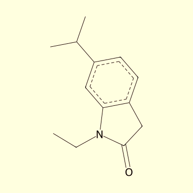 CCN1C(=O)Cc2ccc(C(C)C)cc21